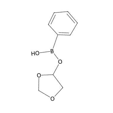 OB(OC1COCO1)c1ccccc1